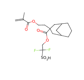 C=C(C)C(=O)OCCC1(C(=O)OCC(F)(F)S(=O)(=O)O)CC2CCCC(C2)C1